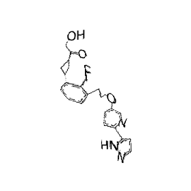 O=C(CO)[C@@H]1C[C@H]1c1cccc(CCOc2ccc(-c3ccn[nH]3)nc2)c1F